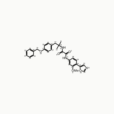 COc1cc(NC(=O)C(=O)NC(C)(C)Cc2ccc(OCc3ccccc3)cc2)ccc1-c1cnco1